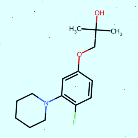 CC(C)(O)COc1ccc(F)c(N2CCCCC2)c1